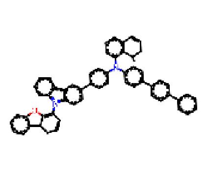 CC1CC=Cc2cccc(N(c3ccc(-c4ccc(-c5ccccc5)cc4)cc3)c3ccc(-c4ccc5c(c4)c4ccccc4n5C4=C5Oc6ccccc6C5CC=C4)cc3)c21